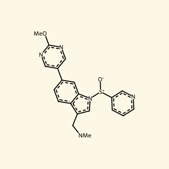 CNCc1cn([S+]([O-])c2cccnc2)c2cc(-c3cnc(OC)nc3)ccc12